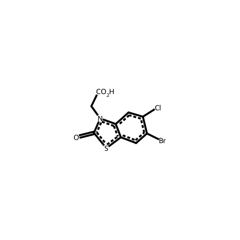 O=C(O)Cn1c(=O)sc2cc(Br)c(Cl)cc21